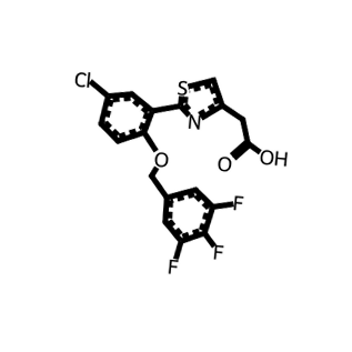 O=C(O)Cc1csc(-c2cc(Cl)ccc2OCc2cc(F)c(F)c(F)c2)n1